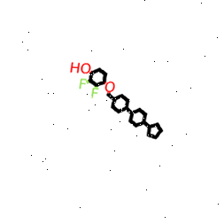 OC1CCC(OCC2CCC(C3CCC(C4CCCC4)CC3)CC2)C(F)C1F